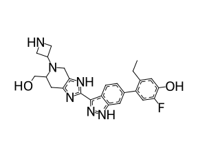 CCc1cc(O)c(F)cc1-c1ccc2c(-c3nc4c([nH]3)CN(C3CNC3)C(CO)C4)n[nH]c2c1